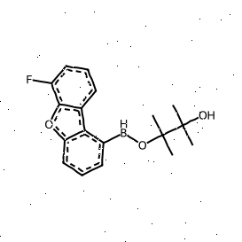 CC(C)(O)C(C)(C)OBc1cccc2oc3c(F)cccc3c12